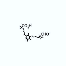 Cc1cc(CCCCC(C)(C)C(=O)O)c(C)c(CCCCC(C)(C)OC=O)c1C